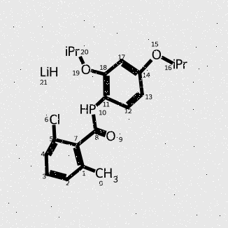 Cc1cccc(Cl)c1C(=O)Pc1ccc(OC(C)C)cc1OC(C)C.[LiH]